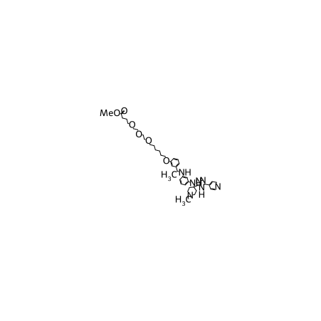 COC(=O)CCCOCCOCCOCCCCCCOc1cccc([C@@H](C)Nc2cccc(NC3(c4nnc(-c5ccncc5)[nH]4)CCN(C)CC3)c2)c1